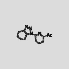 CC(=O)c1cccc(-n2nnc3ccccc32)n1